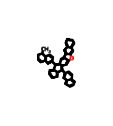 CC1CC=Cc2cc(-c3c4ccccc4c(-c4ccc5ccccc5c4)c4cc5oc6cc7ccccc7cc6c5cc34)ccc21